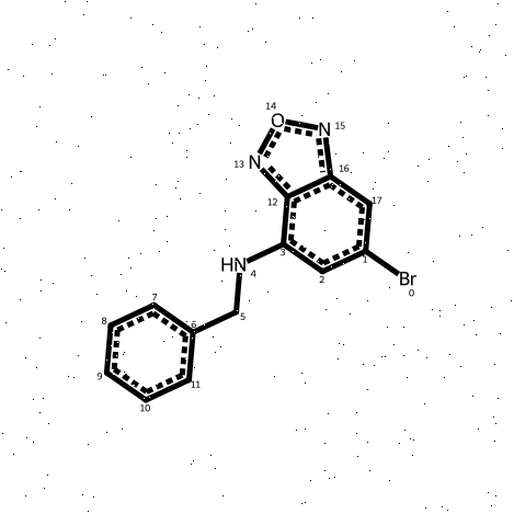 Brc1cc(NCc2ccccc2)c2nonc2c1